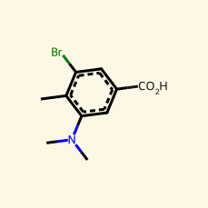 Cc1c(Br)cc(C(=O)O)cc1N(C)C